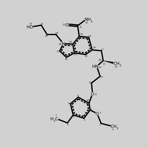 CCOc1cc(CC)ccc1OCCN[C@H](C)Cc1cc(C(N)=O)c2c(ccn2CCCO)c1